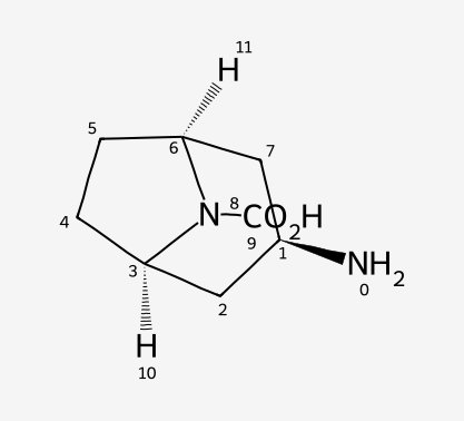 N[C@H]1C[C@H]2CC[C@@H](C1)N2C(=O)O